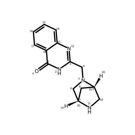 O=c1[nH]c(CN2C[C@@H]3C[C@H]2CN3)nc2ccccc12